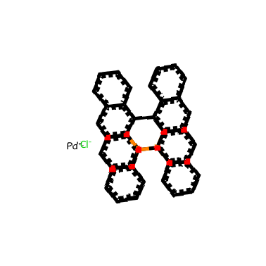 [Cl-].[Pd+].c1ccc(P(c2ccccc2)c2ccc3ccccc3c2-c2c(P(c3ccccc3)c3ccccc3)ccc3ccccc23)cc1